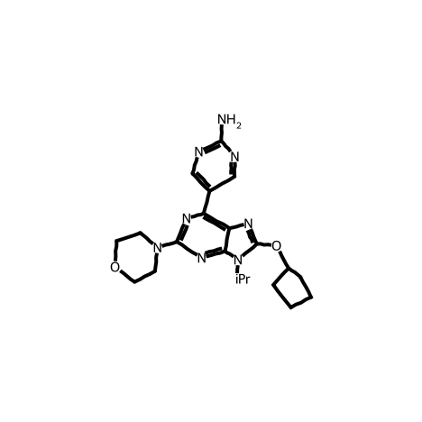 CC(C)n1c(OC2CCCC2)nc2c(-c3cnc(N)nc3)nc(N3CCOCC3)nc21